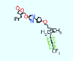 CC(C)CC1=C(COc2cnc(-c3ccc(OCCCC[Si](C)(C)CCC(F)(F)C(F)(F)C(F)(F)C(F)(F)C(F)(F)C(F)(F)F)cc3)nc2)OC(=O)C1